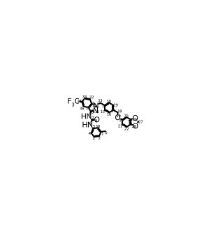 Cc1cccc(NC(=O)Nc2nn(Cc3ccc(COc4ccc5c(c4)OCO5)cc3)c3ccc(C(F)(F)F)cc23)c1